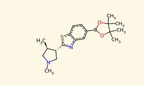 C[C@@H]1CN(C)C[C@H]1c1nc2cc(B3OC(C)(C)C(C)(C)O3)ccc2s1